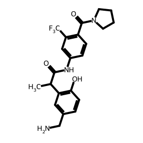 CC(C(=O)Nc1ccc(C(=O)N2CCCC2)c(C(F)(F)F)c1)c1cc(CN)ccc1O